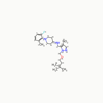 Cc1cccc(F)c1N1CCC(NCc2c([N+](=O)[O-])cnn2COCC[Si](C)(C)C)CC1